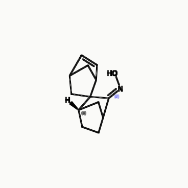 O/N=C1/C2CC[C@@H](C2)C12CC1C=CC2C1